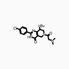 CCCCC1CN(C(=O)CN(C)C)Cc2c1nc(-c1ccc(Cl)cc1)[nH]c2=O